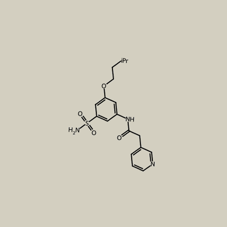 CC(C)CCOc1cc(NC(=O)Cc2cccnc2)cc(S(N)(=O)=O)c1